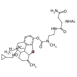 C=C1CC[C@@]2(O)[C@H]3Cc4ccc(OC(=O)N(C)CCNC(=O)[C@H](CC(N)=O)NC(C)=O)c5c4[C@@]2(CC[N+]3(C)CC2CC2)[C@H]1O5